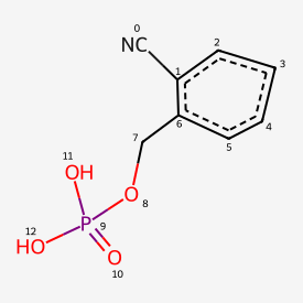 N#Cc1ccccc1COP(=O)(O)O